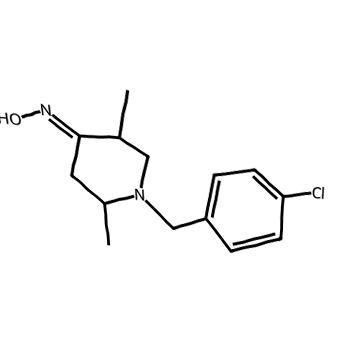 CC1CN(Cc2ccc(Cl)cc2)C(C)CC1=NO